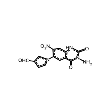 Nn1c(=O)[nH]c2cc([N+](=O)[O-])c(-n3ccc(C=O)c3)cc2c1=O